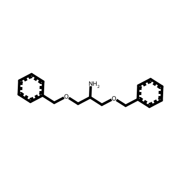 NC(COCc1ccccc1)COCc1ccccc1